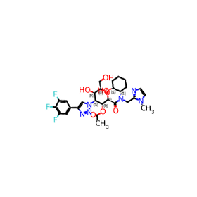 CC(=O)O[C@@H]1[C@@H](n2cc(-c3cc(F)c(F)c(F)c3)nn2)[C@@H](O)[C@@H](CO)O[C@H]1C(=O)N(Cc1nccn1C)[C@H]1CCCC[C@@H]1O